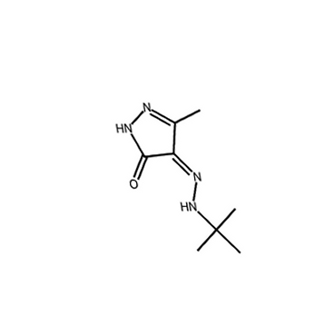 CC1=NNC(=O)/C1=N\NC(C)(C)C